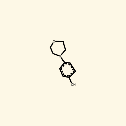 Oc1ccc(N2CCOCC2)cc1